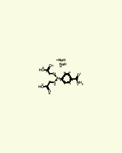 NC(=O)c1ccc([As](SCC(=O)O)SCC(=O)O)cc1.[NaH].[NaH]